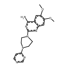 COc1cc2nc(N3CCN(c4ccncn4)CC3)nc(N)c2cc1OC